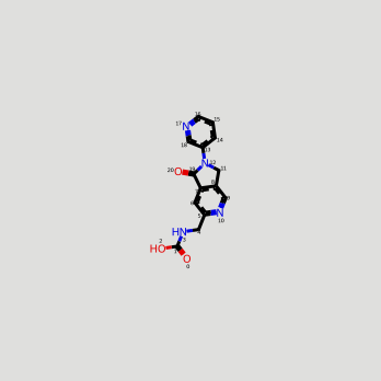 O=C(O)NCc1cc2c(cn1)CN(c1cccnc1)C2=O